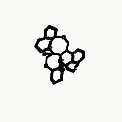 c1cc2c3c(c1)ccc[n+]3C1COc3cccc4ccc[n+](c34)[C@H]3COc4cccc5ccc[n+](c45)C13O2